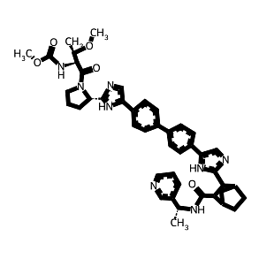 COC(=O)N[C@H](C(=O)N1CCC[C@H]1c1ncc(-c2ccc(-c3ccc(-c4cnc(C5C6CCC(C6)C5C(=O)N[C@H](C)c5cccnc5)[nH]4)cc3)cc2)[nH]1)[C@@H](C)OC